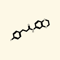 O=C(CCc1ccc(F)cc1)Nc1ccc2c(c1)OCCO2